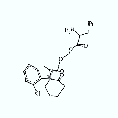 CC(C)CC(N)C(=O)OCOC(=O)N(C)[C@]1(c2ccccc2Cl)CCCCC1=O